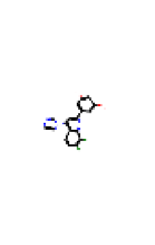 Oc1cc(OC(F)(F)F)cc(-c2cc(-n3ccnc3)c3ccc(Cl)c(Cl)c3n2)c1